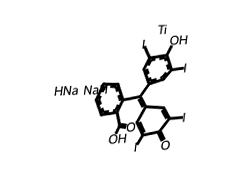 O=C1C(I)=CC(=C(c2cc(I)c(O)c(I)c2)c2ccccc2C(=O)O)C=C1I.[NaH].[NaH].[Ti]